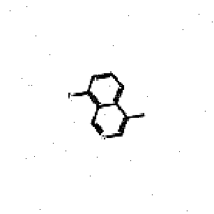 Cc1cncc2c(F)cccc12